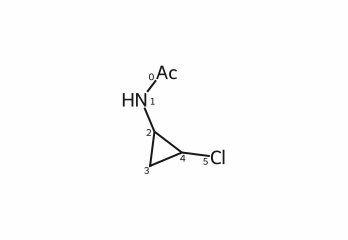 CC(=O)NC1CC1Cl